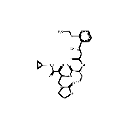 CC[C@@H](CC(=O)N[C@@H](CC(C)(C)C)C(=O)NC(C[C@@H]1CCNC1=O)C(=O)C(=O)NC1CC1)c1ccccc1OCC(F)(F)F